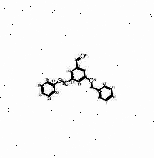 O=Cc1cc(OCc2ccccc2)cc(OSc2ccccc2)c1